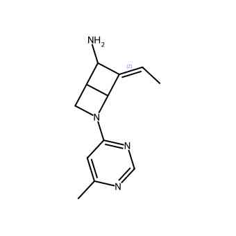 C/C=C1/C(N)C2CN(c3cc(C)ncn3)C12